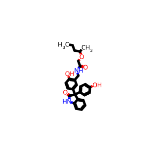 CCCC(C)OCC(=O)NCc1cc(C2(c3ccc(O)cc3)C(=O)Nc3ccccc32)ccc1O